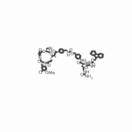 COc1ccc(C[C@H]2NC(=O)/C=C/CC([C@H](C)[C@H]3O[C@@H]3c3ccc(CNC(=O)OCc4ccc(NC(=O)[C@H](CCCNC(N)=O)NC(=O)[C@@H](NC(=O)OCC5c6ccccc6-c6ccccc65)C(C)C)cc4)cc3)OC(=O)[C@H](CC(C)C)OC(=O)C(C)(C)CNC2=O)cc1Cl